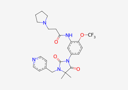 CC1(C)C(=O)N(c2ccc(OC(F)(F)F)c(NC(=O)CCN3CCCC3)c2)C(=O)N1Cc1ccncc1